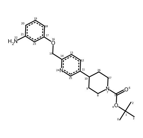 CC(C)(C)OC(=O)N1CCC(c2ccc(COc3cccc(N)c3)nc2)CC1